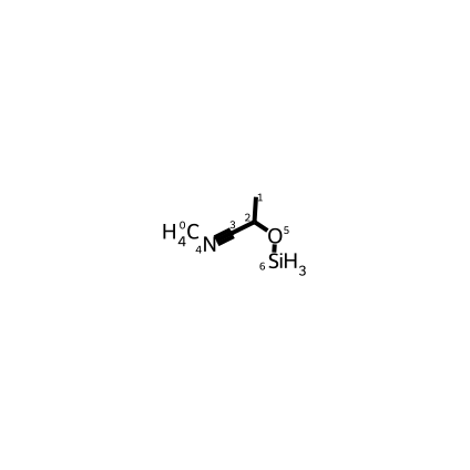 C.CC(C#N)O[SiH3]